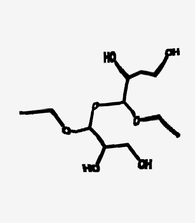 CCOC(OC(OCC)C(O)CO)C(O)CO